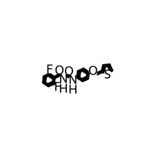 O=C(NC(=O)c1c(F)cccc1F)Nc1ccc(OCc2cccs2)cc1